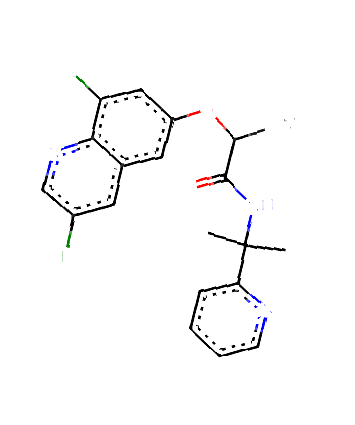 COC(Oc1cc(Cl)c2ncc(Br)cc2c1)C(=O)NC(C)(C)c1ccccn1